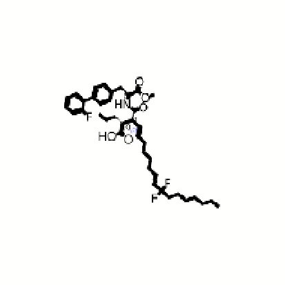 CCCCCCCC(F)(F)CCCCCC/C=C/[C@H](C(=O)N[C@@H](Cc1ccc(-c2ccccc2F)cc1)C(=O)OC)[C@@H](CCC)C(=O)O